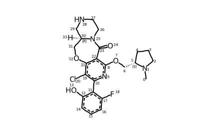 CN1CCC[C@H]1COc1nc(-c2c(O)cccc2F)c(Cl)c2c1C(=O)N1CCNC[C@@H]1CO2